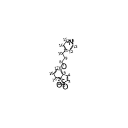 O=S1(=O)C=Cc2c(OCCCc3ccncc3)cccc21